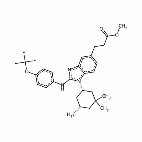 COC(=O)CCc1ccc2c(c1)nc(Nc1ccc(OC(F)(F)F)cc1)n2[C@H]1C[C@@H](C)CC(C)(C)C1